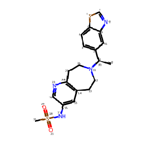 C[C@H](c1ccc2scnc2c1)N1CCc2cc(NS(C)(=O)=O)cnc2CC1